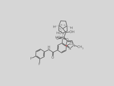 Cn1cc(C(O)C(O)[C@@]2(O)[C@@H]3CC[C@H]2C[C@H](S(=O)(=O)c2cc(C(=O)Nc4ccc(F)c(F)c4)ccc2Cl)C3)cn1